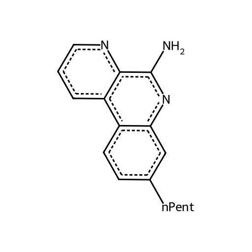 CCCCCc1ccc2c(c1)nc(N)c1ncccc12